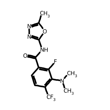 Cc1nnc(NC(=O)c2ccc(C(F)(F)F)c(N(C)C)c2F)o1